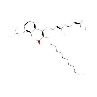 CCCCCCCCCCOc1c(OC/C=C(\C)CCC=C(C)C)c2cccc(OC(C)C)c2oc1=O